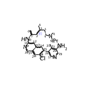 C=C(/C=C(\C)CCN(C)C(C)C)Nc1cc2cc(-c3cncc(N)c3C)c(Cl)cc2cn1